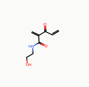 C=CC(=O)C(=C)C(=O)NCCO